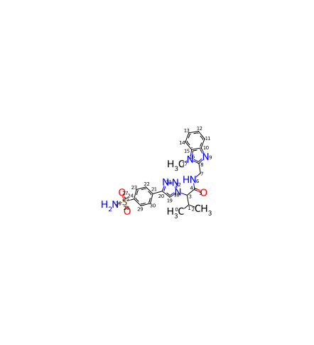 CC(C)C(C(=O)NCc1nc2ccccc2n1C)n1cc(-c2ccc(S(N)(=O)=O)cc2)nn1